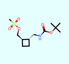 CC(C)(C)OC(=O)NC[C@@H]1CC[C@H]1COS(C)(=O)=O